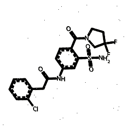 NS(=O)(=O)c1cc(NC(=O)Cc2ccccc2Cl)ccc1C(=O)N1CCC(F)(F)C1